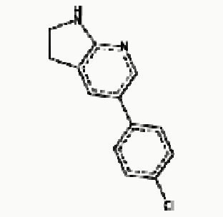 Clc1ccc(-c2cnc3c(c2)CCN3)cc1